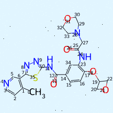 Cc1ccncc1-c1nnc(NC(=O)c2ccc(OC3COC3)c(NC(=O)CN3CCOCC3)c2)s1